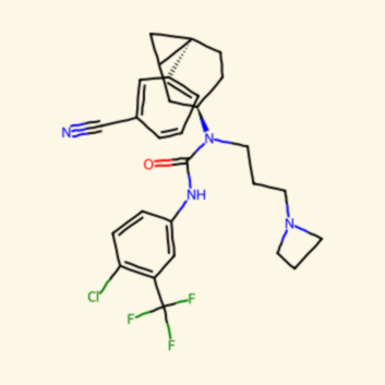 N#Cc1cccc([C@]23CC[C@@H](N(CCCN4CCC4)C(=O)Nc4ccc(Cl)c(C(F)(F)F)c4)CC2C3)c1